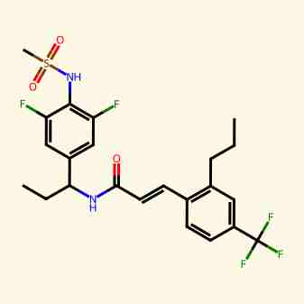 CCCc1cc(C(F)(F)F)ccc1C=CC(=O)NC(CC)c1cc(F)c(NS(C)(=O)=O)c(F)c1